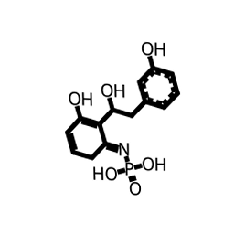 O=P(O)(O)N=C1CC=CC(O)=C1C(O)Cc1cccc(O)c1